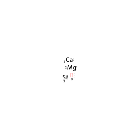 [B].[Ca].[Mg].[Si]